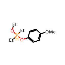 CCO[PH](CC)(CC)Oc1ccc(OC)cc1